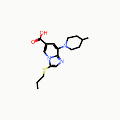 CCCSc1cnc2c(N3CCC(C)CC3)cc(C(=O)O)cn12